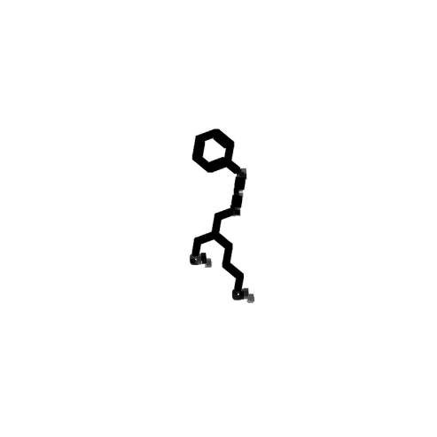 CCCCC(CC)CN=C=Nc1ccccc1